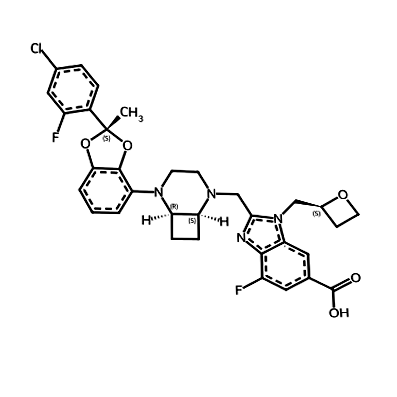 C[C@]1(c2ccc(Cl)cc2F)Oc2cccc(N3CCN(Cc4nc5c(F)cc(C(=O)O)cc5n4C[C@@H]4CCO4)[C@H]4CC[C@H]43)c2O1